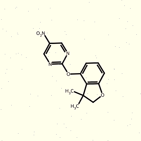 CC1(C)COc2cccc(Oc3ncc([N+](=O)[O-])cn3)c21